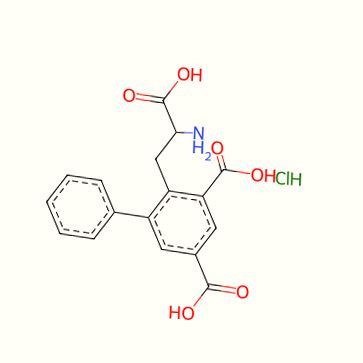 Cl.NC(Cc1c(C(=O)O)cc(C(=O)O)cc1-c1ccccc1)C(=O)O